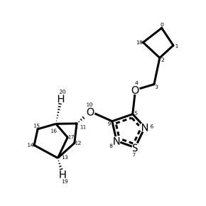 C1CC(COc2nsnc2O[C@@H]2C[C@H]3CC[C@@H]2C3)C1